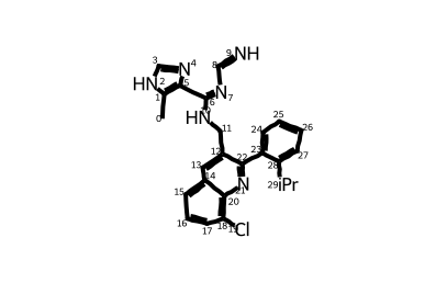 Cc1[nH]cnc1/C(=N\C=N)NCc1cc2cccc(Cl)c2nc1-c1ccccc1C(C)C